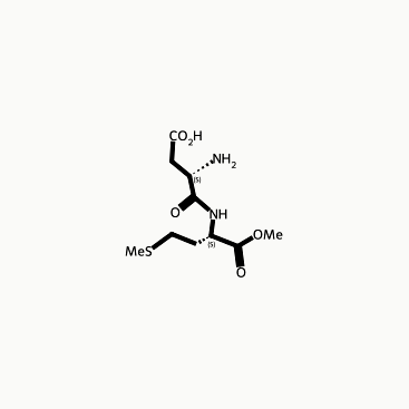 COC(=O)[C@H](CCSC)NC(=O)[C@@H](N)CC(=O)O